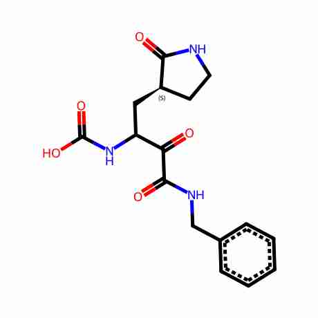 O=C(O)NC(C[C@@H]1CCNC1=O)C(=O)C(=O)NCc1ccccc1